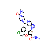 CCC(Oc1cc(-n2cnc3cnc(CN4CCN(C(=O)N(C)C)CC4)cc32)sc1C(N)=O)c1ccccc1Cl